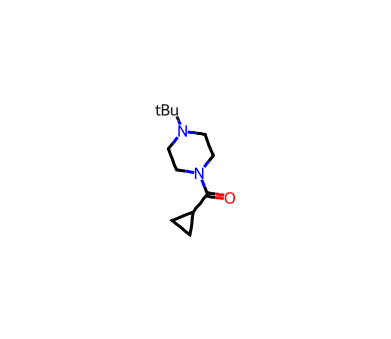 CC(C)(C)N1CCN(C(=O)C2CC2)CC1